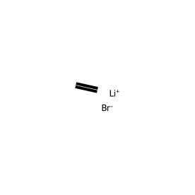 C=C.[Br-].[Li+]